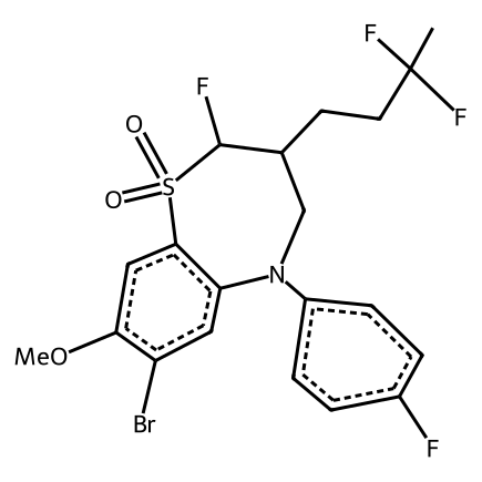 COc1cc2c(cc1Br)N(c1ccc(F)cc1)CC(CCC(C)(F)F)C(F)S2(=O)=O